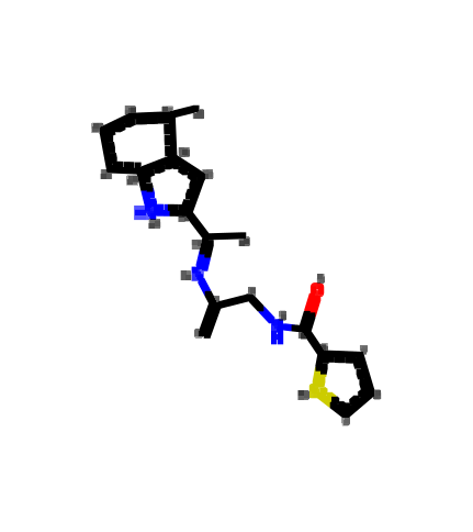 C=C(CNC(=O)c1cccs1)/N=C(\C)c1cc2c(C)cccc2[nH]1